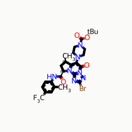 Cc1cc(C(F)(F)F)ccc1NC(=O)[C@H]1C[C@@H](C)c2c(N3CCN(C(=O)OC(C)(C)C)CC3)c(=O)n3nc(Br)nc3n21